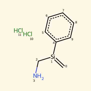 C=[Si](CN)c1ccccc1.Cl.Cl